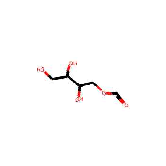 O=[C]OCC(O)C(O)CO